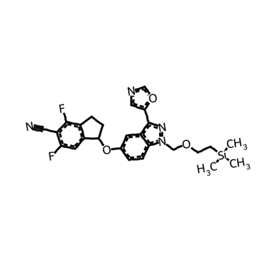 C[Si](C)(C)CCOCn1nc(-c2cnco2)c2cc(OC3CCc4c3cc(F)c(C#N)c4F)ccc21